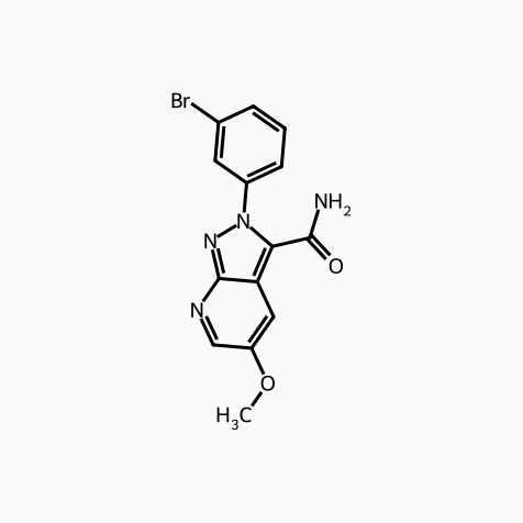 COc1cnc2nn(-c3cccc(Br)c3)c(C(N)=O)c2c1